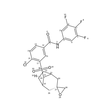 O=C(Nc1cc(F)c(F)c(F)c1)c1ccc(Cl)c(S(=O)(=O)[C@H]2C3CCC2C[C@@]2(CO2)C3)c1